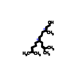 CC(C)=CCC/C(=C/CC/C(C)=C/CO)CC=C(C)C